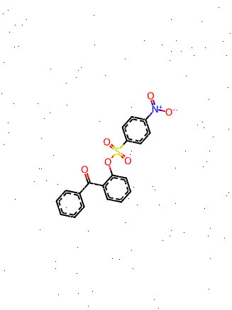 O=C(c1ccccc1)c1ccccc1OS(=O)(=O)c1ccc([N+](=O)[O-])cc1